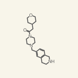 O=C(CC1CCOCC1)N1CCN(Cc2ccc3c(c2)CCNC3)CC1